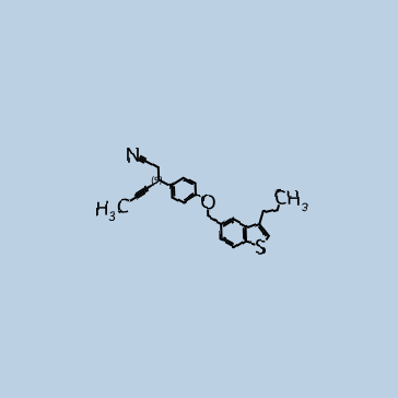 CC#C[C@@H](CC#N)c1ccc(OCc2ccc3scc(CCC)c3c2)cc1